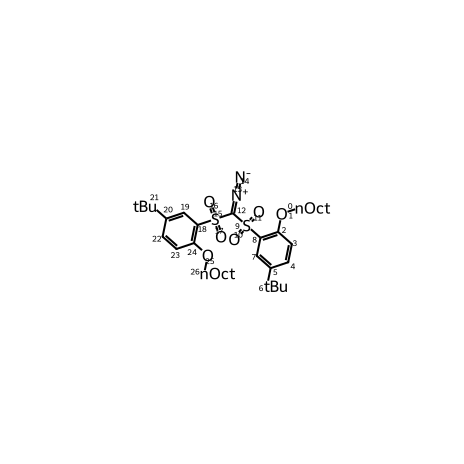 CCCCCCCCOc1ccc(C(C)(C)C)cc1S(=O)(=O)C(=[N+]=[N-])S(=O)(=O)c1cc(C(C)(C)C)ccc1OCCCCCCCC